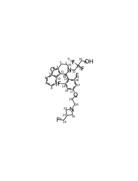 C[C@H]1Cc2oc3ccccc3c2[C@H](c2c(F)cc(OCCN3CC(CF)C3)cc2F)N1CC(F)(F)CO